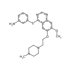 COc1cc2ncnc(Sc3cccc(N)c3)c2cc1OCCN1CCN(C)CC1